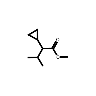 COC(=O)C(C(C)C)C1CC1